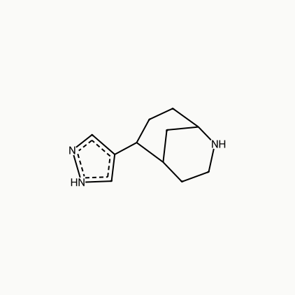 c1n[nH]cc1C1CCC2CC1CCN2